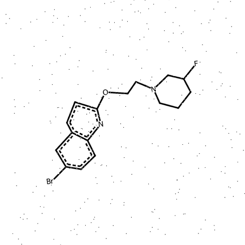 FC1CCCN(CCOc2ccc3cc(Br)ccc3n2)C1